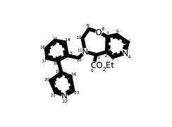 CCOC(=O)C1c2cnccc2OCCN1Cc1ccccc1-c1ccncc1